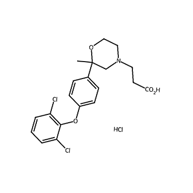 CC1(c2ccc(Oc3c(Cl)cccc3Cl)cc2)CN(CCC(=O)O)CCO1.Cl